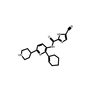 N#Cc1cnc(C(=O)Nc2ccc(C3CCNCC3)nc2C2=CCCCC2)[nH]1